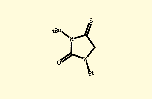 CCN1CC(=S)N(C(C)(C)C)C1=O